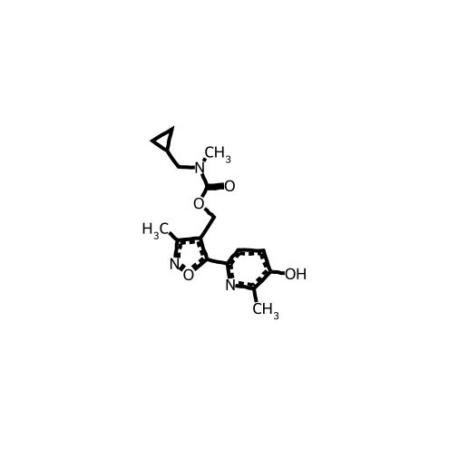 Cc1nc(-c2onc(C)c2COC(=O)N(C)CC2CC2)ccc1O